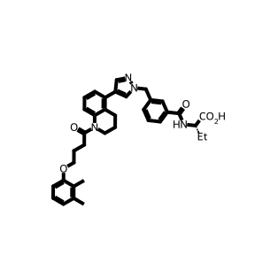 CC[C@H](NC(=O)c1cccc(Cn2cc(-c3cccc4c3CCCN4C(=O)CCCOc3cccc(C)c3C)cn2)c1)C(=O)O